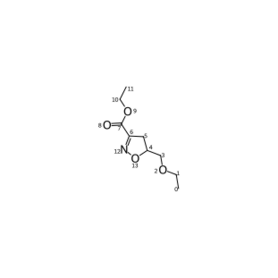 CCOCC1CC(C(=O)OCC)=NO1